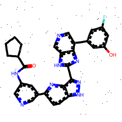 O=C(Nc1cncc(-c2ccc3[nH]nc(-c4nc5c(-c6cc(O)cc(F)c6)cncc5[nH]4)c3n2)c1)C1CCCC1